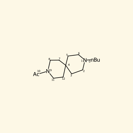 CCCCN1CCC2(CC1)CCN(C(C)=O)CC2